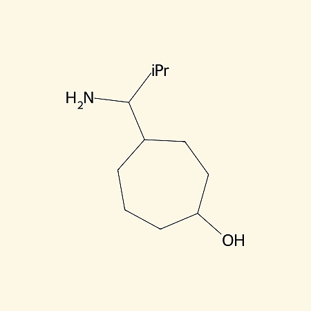 CC(C)C(N)C1CCCC(O)CC1